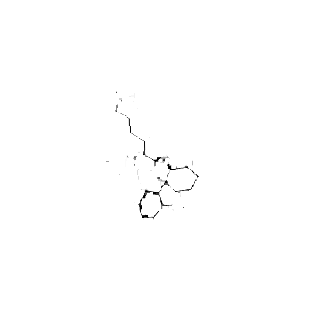 NCCCC[C@H](N)C(=O)N[C@]1(c2ccccc2Cl)CCCCC1=O